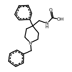 O=C(O)NCC1(c2ccccc2)CCN(Cc2ccccc2)CC1